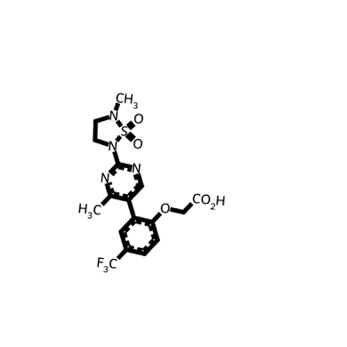 Cc1nc(N2CCN(C)S2(=O)=O)ncc1-c1cc(C(F)(F)F)ccc1OCC(=O)O